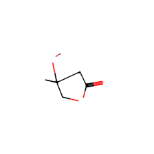 CC1(OC(=O)O)COC(=O)C1